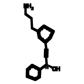 NCCCc1cccc(C#C[C@H](O)c2ccccc2)c1